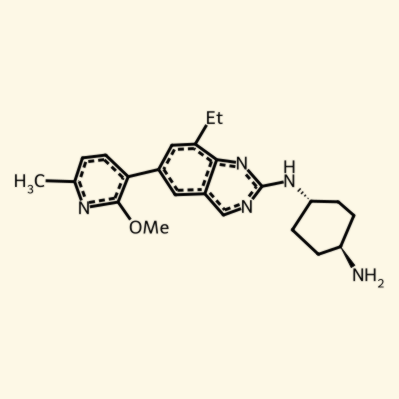 CCc1cc(-c2ccc(C)nc2OC)cc2cnc(N[C@H]3CC[C@H](N)CC3)nc12